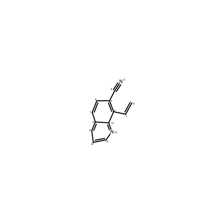 C=Cc1c(C#N)ccc2cccnc12